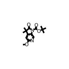 COc1cc2c(cn1)N(C(=O)OC(C)(C)C)C(=O)C2(C)C